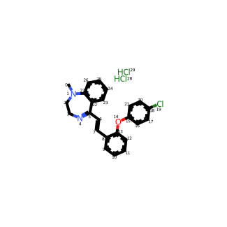 CN1CCN=C(C=Cc2ccccc2Oc2ccc(Cl)cc2)c2ccccc21.Cl.Cl